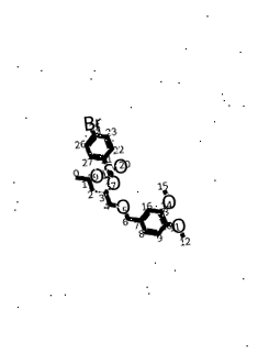 CCC[C@@H](COCc1ccc(OC)c(OC)c1)OS(=O)(=O)c1ccc(Br)cc1